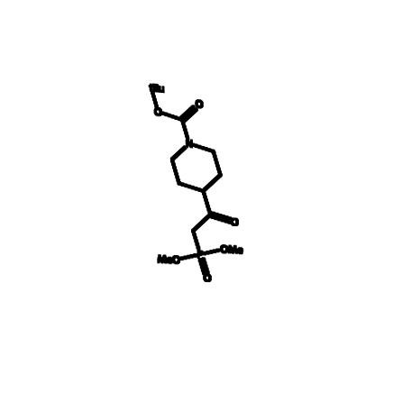 COP(=O)(CC(=O)C1CCN(C(=O)OC(C)(C)C)CC1)OC